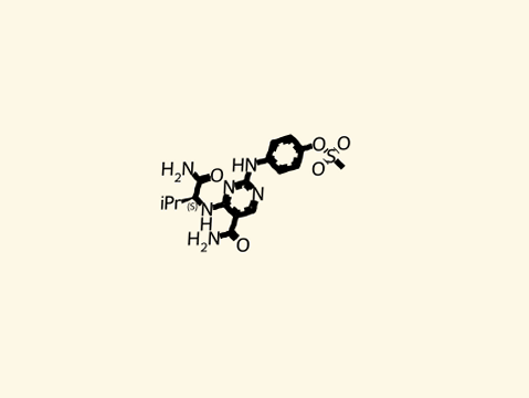 CC(C)[C@H](Nc1nc(Nc2ccc(OS(C)(=O)=O)cc2)ncc1C(N)=O)C(N)=O